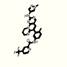 Cc1ccc(NC(=O)c2cc(C(F)(F)F)ccn2)cc1C1=Cc2cnc(Nc3cnn(C)c3)nc2N2CCCN=C12